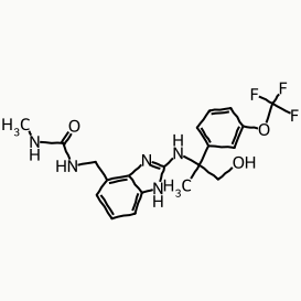 CNC(=O)NCc1cccc2[nH]c(NC(C)(CO)c3cccc(OC(F)(F)F)c3)nc12